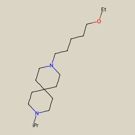 CCOCCCCCN1CCC2(CC1)CCN(C(C)C)CC2